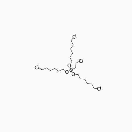 ClCCCCCCO[Si](CCCl)(OCCCCCCCl)OCCCCCCCl